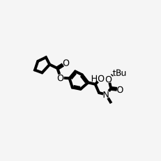 CN(CC(O)c1ccc(OC(=O)C2CCCC2)cc1)C(=O)OC(C)(C)C